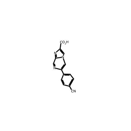 N#Cc1ccc(-c2cn3cc(C(=O)O)nc3cn2)cc1